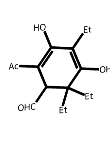 CCC1=C(O)C(CC)(CC)C(C=O)C(C(C)=O)=C1O